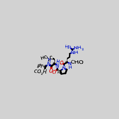 CC(C)[C@H](NC(=O)[C@H](CC(=O)O)NC(=O)[C@@H]1CCCN1C(=O)[C@H](CCCNC(=N)N)NC=O)C(=O)O